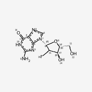 Nc1nc2c(ncn2[C@@H]2O[C@H](CO)[C@@H](O)C2F)c(=O)[nH]1